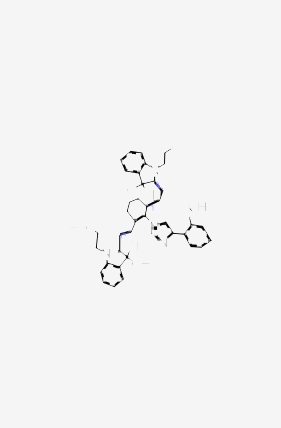 CCCN1/C(=C/C=C2\CCCC(/C=C/C3=[N+](CCC)c4ccccc4C3(C)C)=C2n2cc(-c3ccccc3OC)nn2)C(C)(C)c2ccccc21